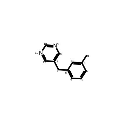 Cc1cccc(Cc2cncnc2)c1